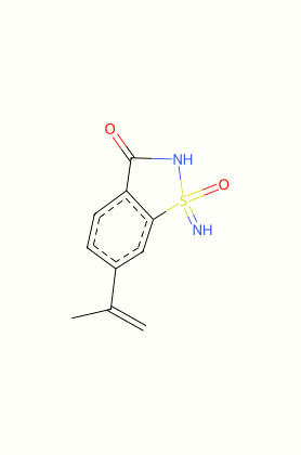 C=C(C)c1ccc2c(c1)S(=N)(=O)NC2=O